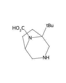 CC(C)(C)C12CCC(CNC1)N2C(=O)O